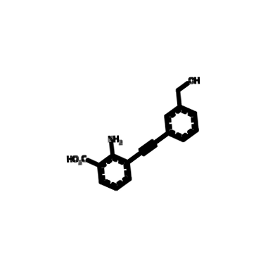 Nc1c(C#Cc2cccc(CO)c2)cccc1C(=O)O